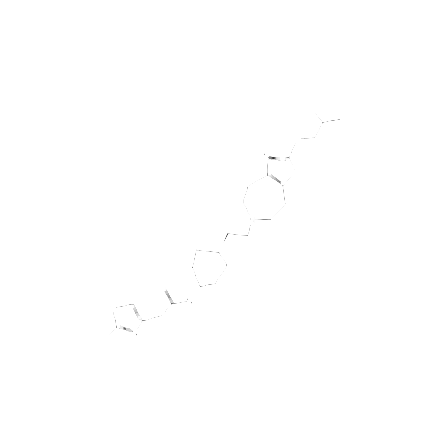 Cc1nc(CC(=O)N[C@H]2CC[C@H](CCN3CCc4nc(OCC(F)F)sc4CC3)CC2)cs1